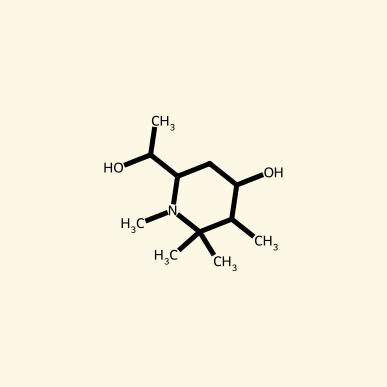 CC(O)C1CC(O)C(C)C(C)(C)N1C